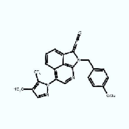 COc1ccc(Cn2c(=C=O)c3cccc4c(-n5ncc(C(=O)O)c5C(F)(F)F)cnc2c43)cc1